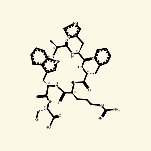 C[C@H](N)C(=O)N[C@@H](Cc1c[nH]cn1)C(=O)N[C@H](Cc1ccccc1)C(=O)N[C@@H](CCCNC(=N)N)C(=O)N[C@@H](Cc1c[nH]c2ccccc12)C(=O)N[C@@H](CS)C(=O)O